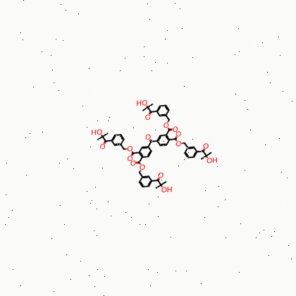 CC(C)(O)C(=O)c1cccc(COC(=O)c2ccc(C(=O)c3ccc(C(=O)OCc4cccc(C(=O)C(C)(C)O)c4)c(C(=O)OCc4cccc(C(=O)C(C)(C)O)c4)c3)cc2C(=O)OCc2cccc(C(=O)C(C)(C)O)c2)c1